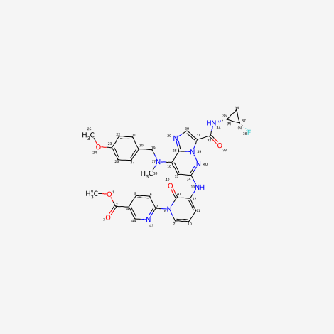 COC(=O)c1ccc(-n2cccc(Nc3cc(N(C)Cc4ccc(OC)cc4)c4ncc(C(=O)N[C@@H]5C[C@@H]5F)n4n3)c2=O)nc1